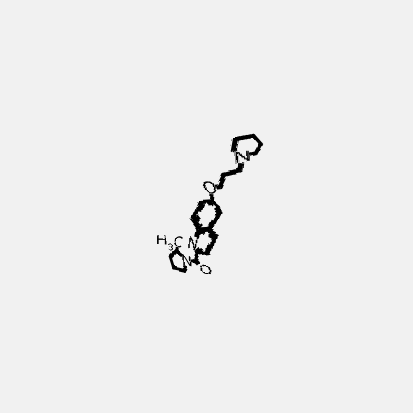 CC1CCCN1C(=O)c1ccc2cc(OCCCN3CCCCC3)ccc2n1